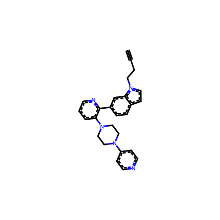 C#CCCn1ccc2ccc(-c3ncccc3N3CCN(c4ccncc4)CC3)cc21